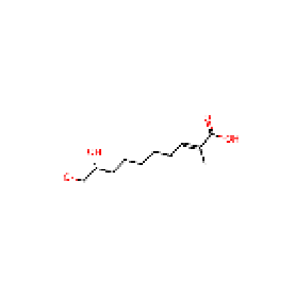 C/C(=C\CCCCC[C@@H](O)CO)C(=O)O